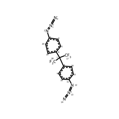 [N-]=[N+]=Nc1ccc(C(c2ccc(N=[N+]=[N-])cc2)(C(F)(F)F)C(F)(F)F)cc1